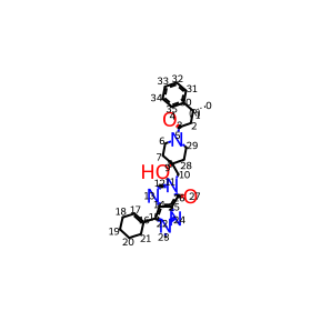 C[C@H](CC(=O)N1CCC(O)(Cn2cnc3c(C4=CCCCC4)n(C)nc3c2=O)CC1)c1ccccc1